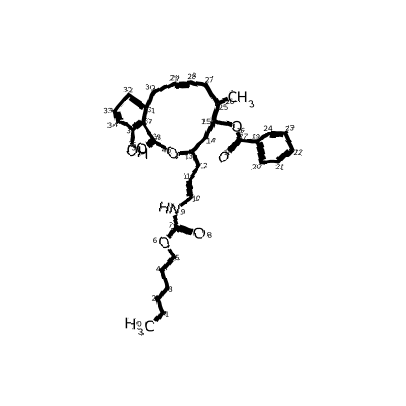 CCCCCCOC(=O)NC=CCC1CC(OC(=O)c2ccccc2)C(C)CC=CCc2cccc(O)c2C(=O)O1